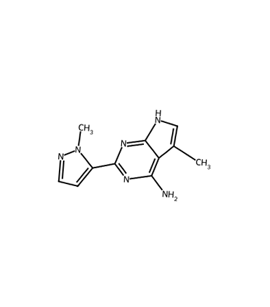 Cc1c[nH]c2nc(-c3ccnn3C)nc(N)c12